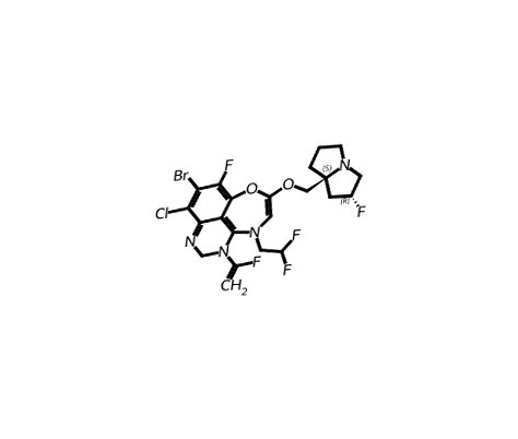 C=C(F)N1CN=c2c(Cl)c(Br)c(F)c3c2=C1N(CC(F)F)C=C(OC[C@@]12CCCN1C[C@H](F)C2)O3